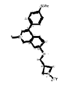 CSc1ccc(C2=CN(C)Cc3cc(OCC4CN(C(C)C)C4)ccc32)cc1